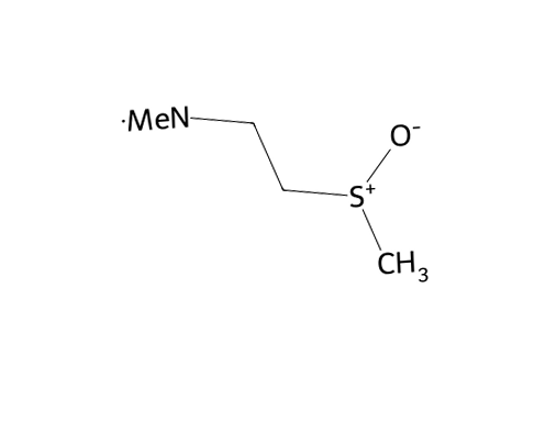 C[N]CC[S+](C)[O-]